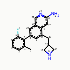 Cc1cccc(F)c1-c1cc(CC2CNC2)c2cc(N)ncc2c1